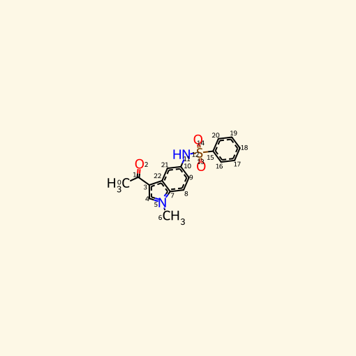 CC(=O)c1cn(C)c2ccc(NS(=O)(=O)c3ccccc3)cc12